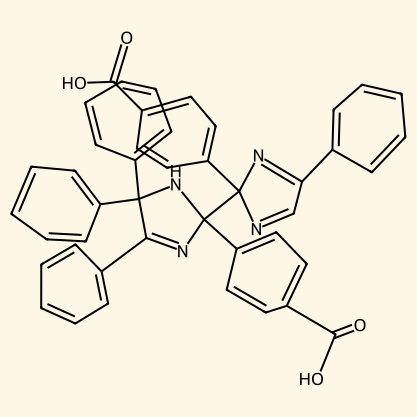 O=C(O)c1ccc(C2(C3(c4ccc(C(=O)O)cc4)N=C(c4ccccc4)C(c4ccccc4)(c4ccccc4)N3)N=CC(c3ccccc3)=N2)cc1